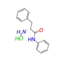 Cl.N[C@H](Cc1ccccc1)C(=O)Nc1ccccc1